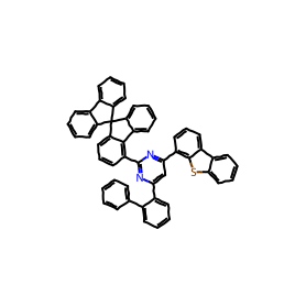 c1ccc(-c2ccccc2-c2cc(-c3cccc4c3sc3ccccc34)nc(-c3cccc4c3-c3ccccc3C43c4ccccc4-c4ccccc43)n2)cc1